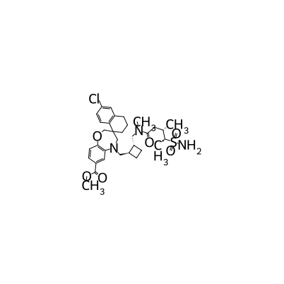 COC(=O)c1ccc2c(c1)N(C[C@@H]1CC[C@H]1CN(C)C(=O)C[C@H](C)[C@H](C)S(N)(=O)=O)CC1(CCCc3cc(Cl)ccc31)CO2